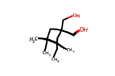 CC1(C)CC(CO)(CO)C1(C)C